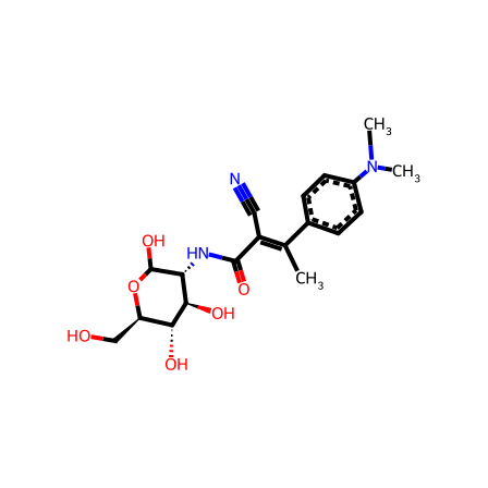 C/C(=C(/C#N)C(=O)N[C@H]1C(O)O[C@H](CO)[C@@H](O)[C@@H]1O)c1ccc(N(C)C)cc1